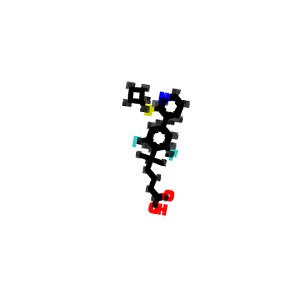 CC(C)(CCCC(=O)O)c1c(F)cc(-c2cccnc2SC2CCC2)cc1F